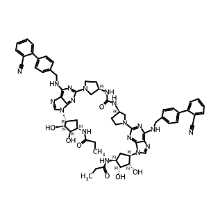 CCC(=O)N[C@H]1C[C@@H](n2cnc3c(NCc4ccc(-c5ccccc5C#N)cc4)nc(N4CC[C@@H](NC(=O)N[C@@H]5CCN(c6nc(NCc7ccc(-c8ccccc8C#N)cc7)c7ncn([C@@H]8C[C@H](NC(=O)CC)[C@@H](O)[C@H]8O)c7n6)C5)C4)nc32)[C@H](O)[C@@H]1O